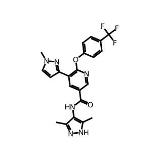 Cc1n[nH]c(C)c1NC(=O)c1cnc(Oc2ccc(C(F)(F)F)cc2)c(-c2ccn(C)n2)c1